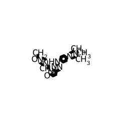 C=CC(=O)N1CCN(CCn2c(=O)ccc3cnc(Nc4ccc(N5C[C@@H](C)N(C)[C@H](C)C5)cc4)nc32)[C@@H](C)C1